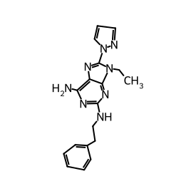 CCn1c(-n2cccn2)nc2c(N)nc(NCCc3ccccc3)nc21